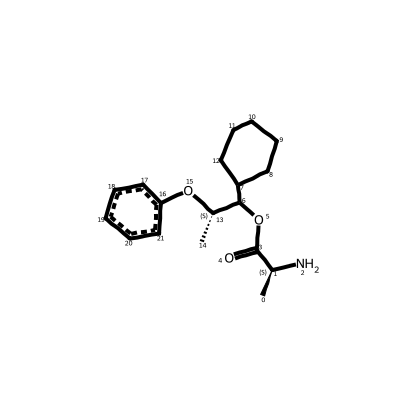 C[C@H](N)C(=O)OC(C1CCCCC1)[C@H](C)Oc1ccccc1